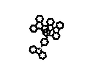 c1ccc2c(c1)-c1ccccc1C21c2ccccc2-c2cccc(N(c3ccc(-n4c5ccccc5c5ccccc54)cc3)c3ccc4c5ccccc5c5ccccc5c4c3)c21